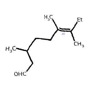 CC/C(C)=C(\C)CCC(C)CC=O